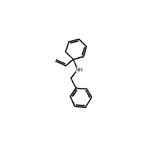 C=CC1(NCc2ccccc2)C=CC=CC1